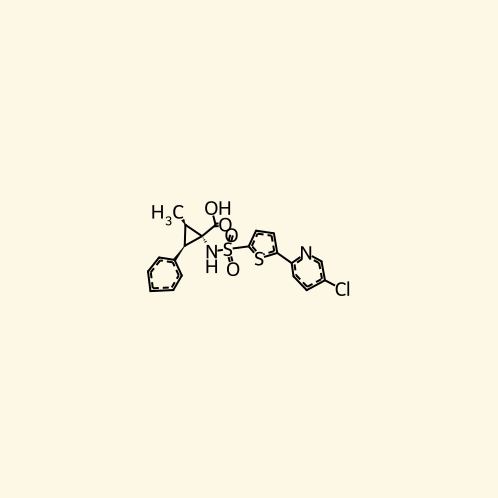 C[C@@H]1[C@H](c2ccccc2)[C@]1(NS(=O)(=O)c1ccc(-c2ccc(Cl)cn2)s1)C(=O)O